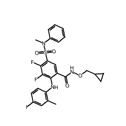 Cc1cc(I)ccc1Nc1c(C(=O)NOCC2CC2)cc(S(=O)(=O)N(C)c2ccccc2)c(F)c1F